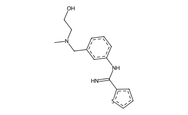 CN(CCO)Cc1cccc(NC(=N)c2cccs2)c1